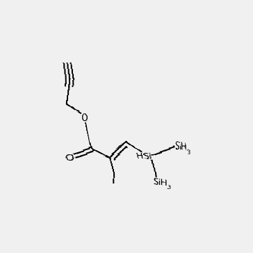 C#CCOC(=O)C(C)=C[SiH]([SiH3])[SiH3]